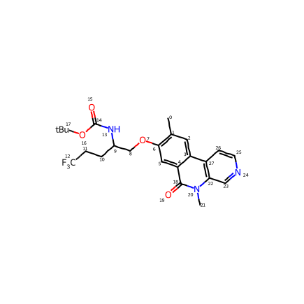 Cc1cc2c(cc1OCC(CCC(F)(F)F)NC(=O)OC(C)(C)C)c(=O)n(C)c1cnccc21